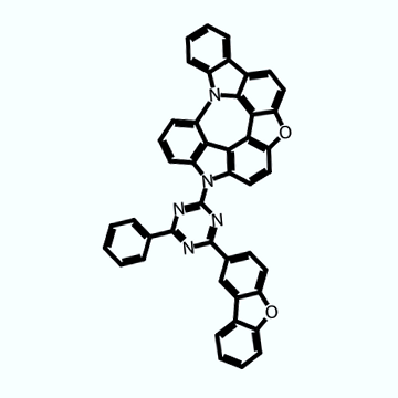 c1ccc(-c2nc(-c3ccc4oc5ccccc5c4c3)nc(-n3c4ccc5oc6ccc7c8ccccc8n8c9cccc3c9c4c5c6c78)n2)cc1